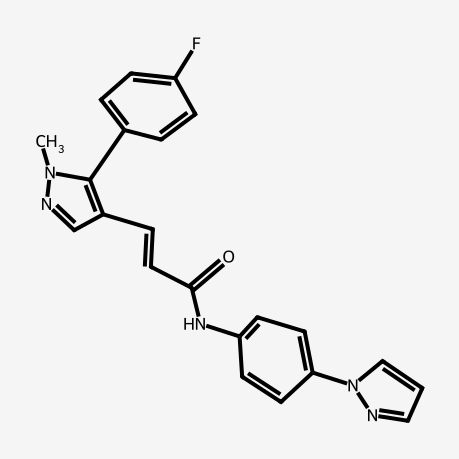 Cn1ncc(C=CC(=O)Nc2ccc(-n3cccn3)cc2)c1-c1ccc(F)cc1